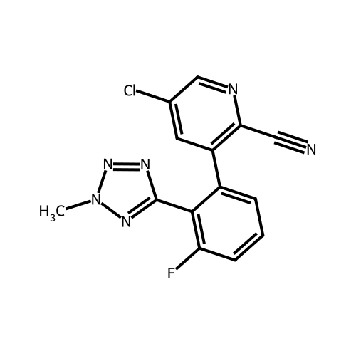 Cn1nnc(-c2c(F)cccc2-c2cc(Cl)cnc2C#N)n1